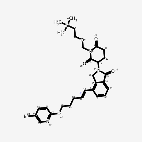 C[Si](C)(C)CCOCN1C(=O)CCC(N2Cc3c(/C=C/CCCOc4ccc(Br)cn4)cccc3C2=O)C1=O